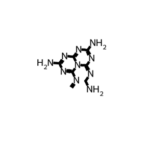 C=Nc1nc(N)nc2nc(N)n/c(=N/CN)n12